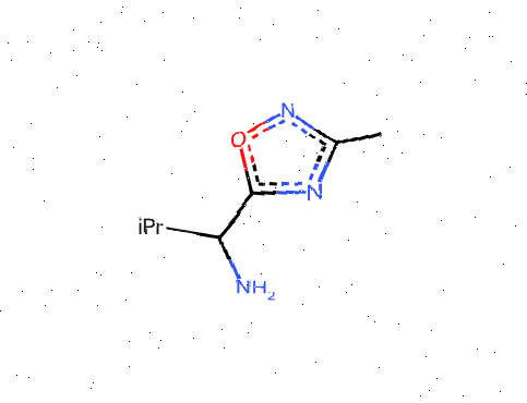 Cc1noc(C(N)C(C)C)n1